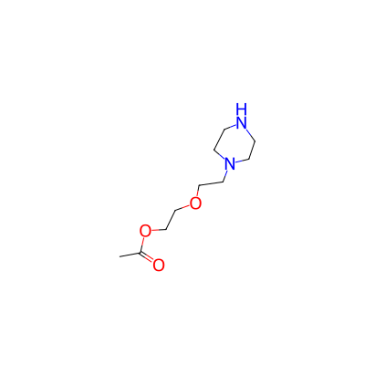 CC(=O)OCCOCCN1CCNCC1